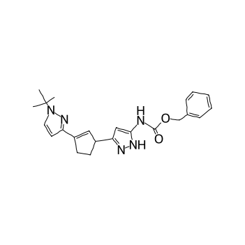 CC(C)(C)n1ccc(C2=CC(c3cc(NC(=O)OCc4ccccc4)[nH]n3)CC2)n1